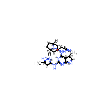 Cc1cc(Nc2nc(N[C@@H]3C[C@H]4CC[C@@H](C3)N4CCC#N)c3c(C)c[nH]c3n2)n[nH]1